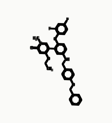 CCOc1cc(=O)n(C)cc1-c1cc(NCc2ccc(OCc3ccccc3)cc2)ccc1Oc1ccc(F)cc1F